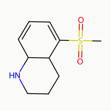 CS(=O)(=O)C1=CC=CC2NCCCC12